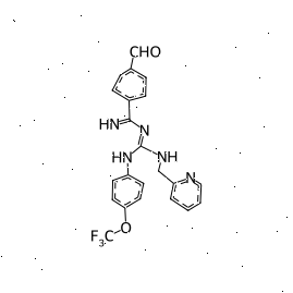 N=C(/N=C(/NCc1ccccn1)Nc1ccc(OC(F)(F)F)cc1)c1ccc(C=O)cc1